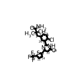 CC(C)(Cc1ccc(Cl)c(-c2nc(-c3ccc(C(F)(F)F)s3)cc(=O)[nH]2)c1)C(N)=O